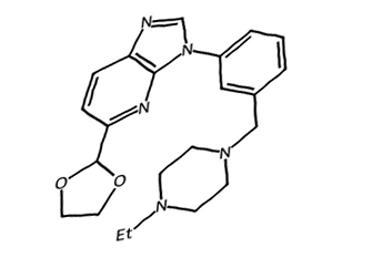 CCN1CCN(Cc2cccc(-n3cnc4ccc(C5OCCO5)nc43)c2)CC1